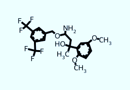 COc1ccc(OC)c(C(C)(O)CC(N)OCc2cc(C(F)(F)F)cc(C(F)(F)F)c2)c1